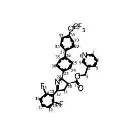 O=C(OCc1cccnc1)[C@H]1CC(c2c(F)cccc2F)=N[C@H]1c1ccc(-c2ccc(OC(F)(F)F)cc2)cc1